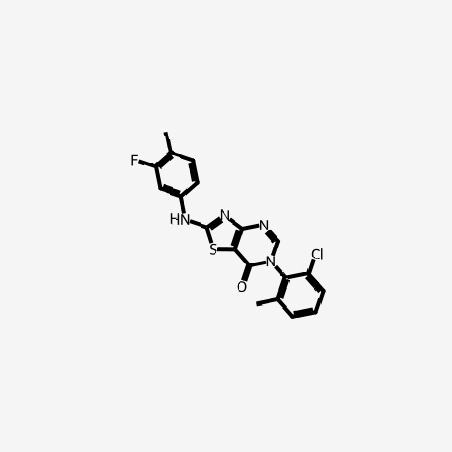 Cc1ccc(Nc2nc3ncn(-c4c(C)cccc4Cl)c(=O)c3s2)cc1F